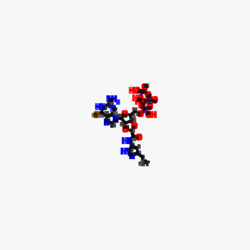 CC(C)Cc1cc(NC(=O)[C@@H]2OC3C(COP(=O)(O)OP(=O)(O)OP(=O)(O)O)OC(n4cnc5c(=S)[nH]c(N)nc54)C3O2)[nH]n1